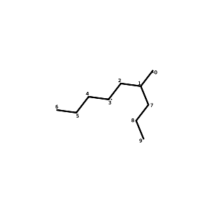 [CH2]C(C[CH]CCC)CCC